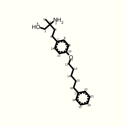 CC(N)(CO)CCc1ccc(OCCCCCc2ccccc2)cc1